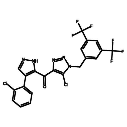 O=C(c1nnn(Cc2cc(C(F)(F)F)cc(C(F)(F)F)c2)c1Cl)c1[nH]ncc1-c1ccccc1Cl